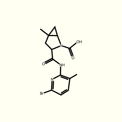 Cc1ccc(Br)nc1NC(=O)C1CC2(C)CC2N1C(=O)O